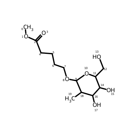 COC(=O)CCCCOC1OC(CO)C(O)C(O)C1C